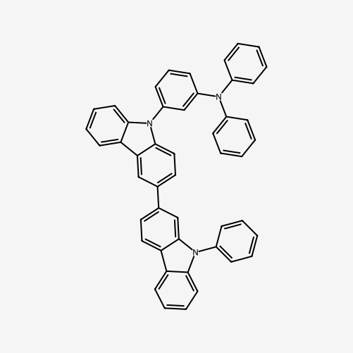 c1ccc(N(c2ccccc2)c2cccc(-n3c4ccccc4c4cc(-c5ccc6c7ccccc7n(-c7ccccc7)c6c5)ccc43)c2)cc1